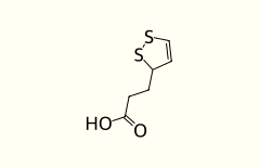 O=C(O)CCC1C=CSS1